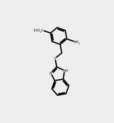 CCOC(=O)c1ccc(N)c(CSc2nc3ccccc3[nH]2)c1